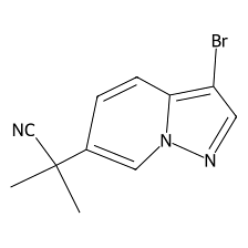 CC(C)(C#N)c1ccc2c(Br)cnn2c1